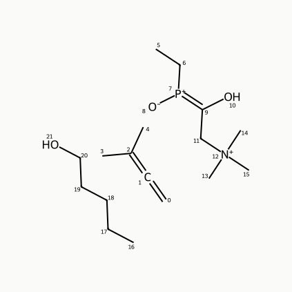 C=C=C(C)C.CC/[P+]([O-])=C(\O)C[N+](C)(C)C.CCCCCO